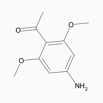 COc1cc(N)cc(OC)c1C(C)=O